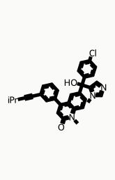 CC(C)C#Cc1cccc(-c2cc(=O)n(C)c3ccc(C(O)(c4ccc(Cl)cc4)c4cncn4C)cc23)c1